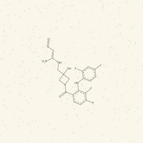 N/C(=C\N=O)NCC1(O)CN(C(=O)c2ccc(F)c(F)c2Nc2ccc(I)cc2F)C1